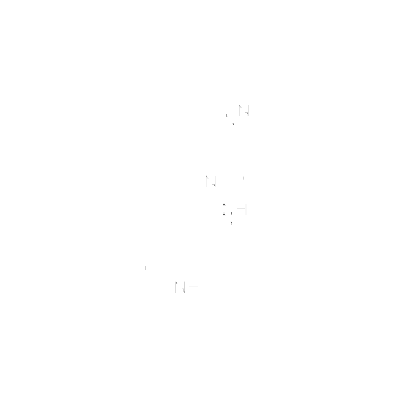 CC(=O)NC1CC(c2cc(NC(=O)CCn3cccn3)[nH]n2)C1